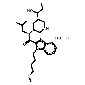 CCC(O)[C@H]1CNC[C@@H](N(CC(C)C)C(=O)c2nc3ccccc3n2CCCCOC)C1.Cl.Cl